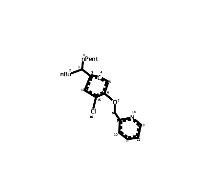 CCCCCC(CCCC)c1ccc(OCc2ccccn2)c(Cl)c1